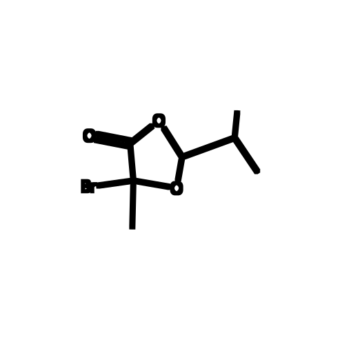 CC(C)C1OC(=O)C(C)(Br)O1